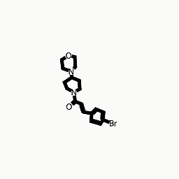 O=C(/C=C/c1ccc(Br)cc1)N1CCC(N2CCOCC2)CC1